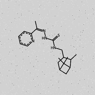 CC(=NNC(=S)NCC1CC2CC(C1C)C2(C)C)c1ccccn1